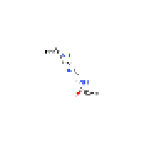 CCCCCCNCCNCCNC(=O)OC